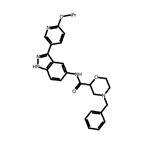 CC(C)Oc1ccc(-c2n[nH]c3ccc(NC(=O)C4CN(Cc5ccccc5)CCO4)cc23)cn1